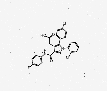 O=C(O)Cc1c(C(=O)Nc2ccc(F)cc2)nn(-c2ccccc2Cl)c1-c1ccc(Cl)cc1